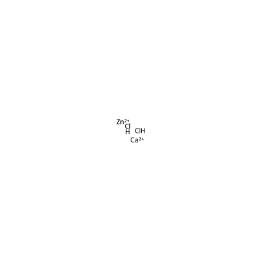 Cl.Cl.[Ca+2].[Zn+2]